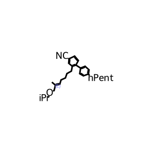 CCCCCc1ccc(-c2ccc(C#N)cc2CCCC/C=C(\C)COC(C)C)cc1